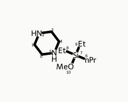 C1CNCCN1.CCC[Si](CC)(CC)OC